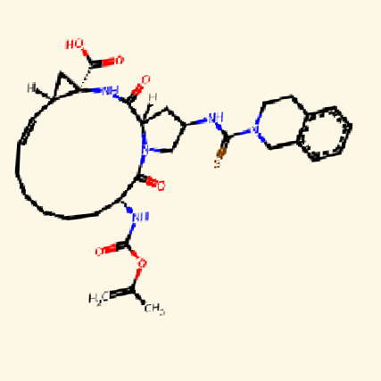 C=C(C)OC(=O)N[C@H]1CCCCC/C=C\[C@@H]2C[C@@]2(C(=O)O)NC(=O)[C@@H]2C[C@@H](NC(=S)N3CCc4ccccc4C3)CN2C1=O